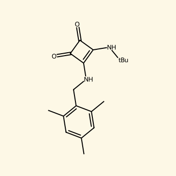 Cc1cc(C)c(CNc2c(NC(C)(C)C)c(=O)c2=O)c(C)c1